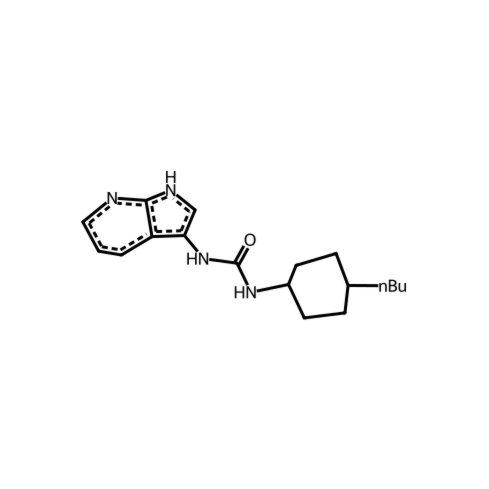 CCCCC1CCC(NC(=O)Nc2c[nH]c3ncccc23)CC1